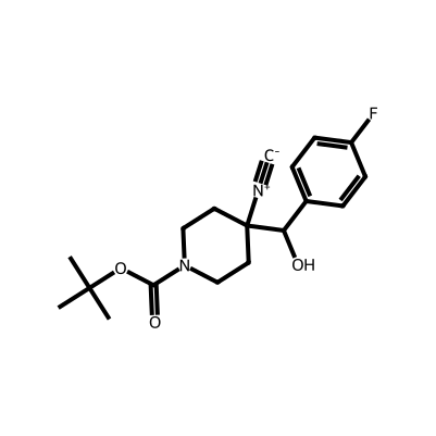 [C-]#[N+]C1(C(O)c2ccc(F)cc2)CCN(C(=O)OC(C)(C)C)CC1